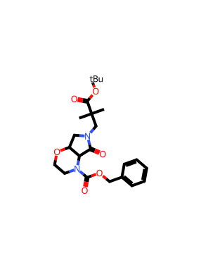 CC(C)(C)OC(=O)C(C)(C)CN1CC2OCCN(C(=O)OCc3ccccc3)C2C1=O